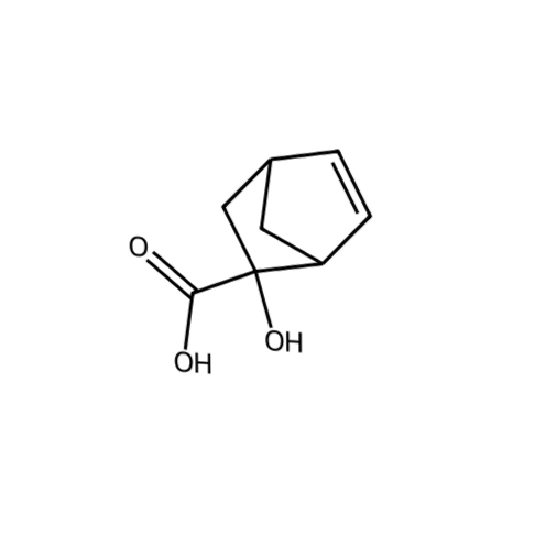 O=C(O)C1(O)CC2C=CC1C2